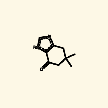 CC1(C)CC(=O)c2[nH]cnc2C1